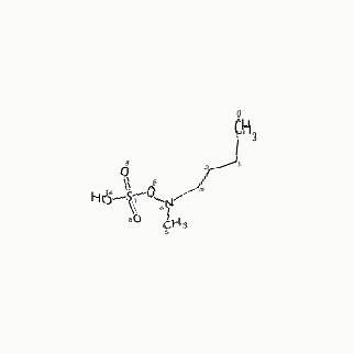 CCCCN(C)OS(=O)(=O)O